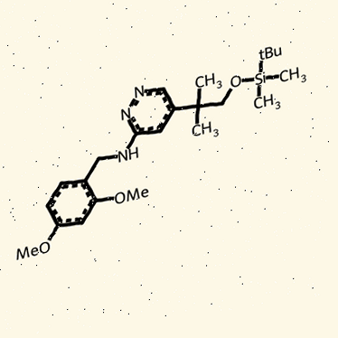 COc1ccc(CNc2cc(C(C)(C)CO[Si](C)(C)C(C)(C)C)cnn2)c(OC)c1